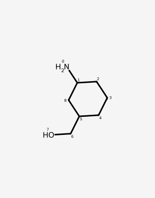 NC1C[CH]CC(CO)C1